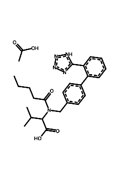 CC(=O)O.CCCCC(=O)N(Cc1ccc(-c2ccccc2-c2nnn[nH]2)cc1)C(C(=O)O)C(C)C